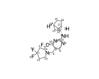 FC1(F)CCN(Cc2cnc(N[C@@H]3C[C@H]4CC[C@@H]3C4)nc2C(F)(F)F)CC1